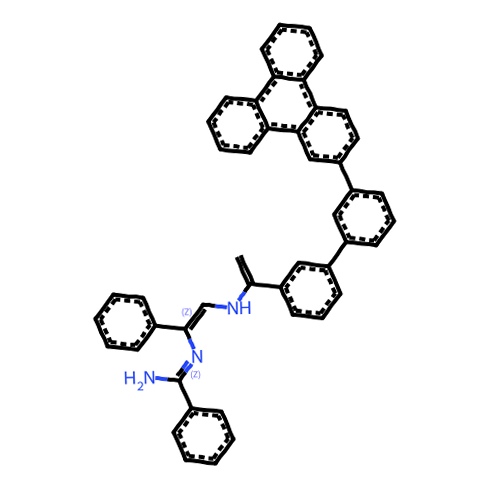 C=C(N/C=C(\N=C(/N)c1ccccc1)c1ccccc1)c1cccc(-c2cccc(-c3ccc4c5ccccc5c5ccccc5c4c3)c2)c1